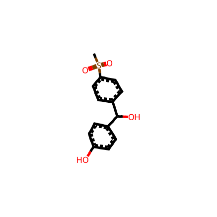 CS(=O)(=O)c1ccc(C(O)c2ccc(O)cc2)cc1